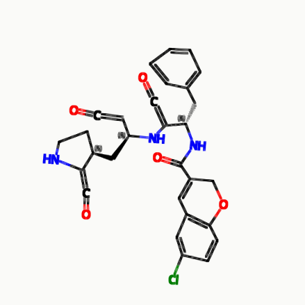 O=C=C[C@H](C[C@@H]1CCNC1=C=O)NC(=C=O)[C@H](Cc1ccccc1)NC(=O)C1=Cc2cc(Cl)ccc2OC1